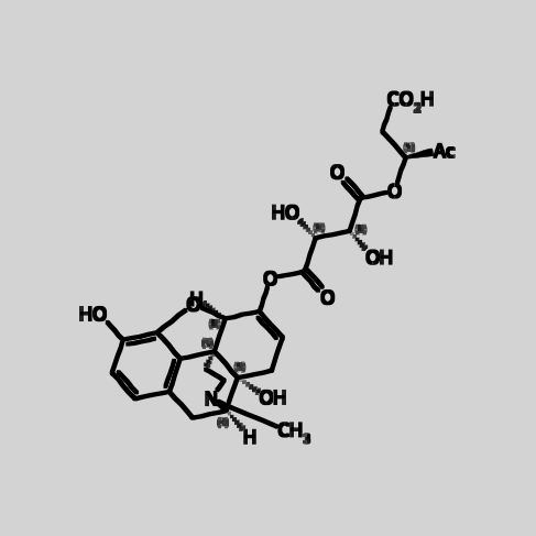 CC(=O)[C@H](CC(=O)O)OC(=O)[C@H](O)[C@@H](O)C(=O)OC1=CC[C@@]2(O)[C@H]3Cc4ccc(O)c5c4[C@@]2(CCN3C)[C@H]1O5